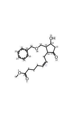 COC(=O)CCC/C=C\CC1C(=O)CC(O)C1COCc1ccccc1